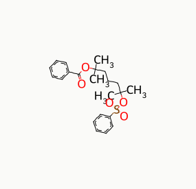 CC(C)(CCCC(C)(C)OS(=O)(=O)c1ccccc1)OC(=O)c1ccccc1